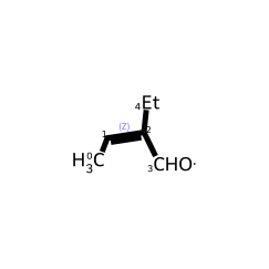 C/C=C(\[C]=O)CC